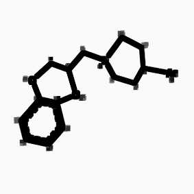 CC(=O)C1CCN(CC2COc3ccccc3O2)CC1